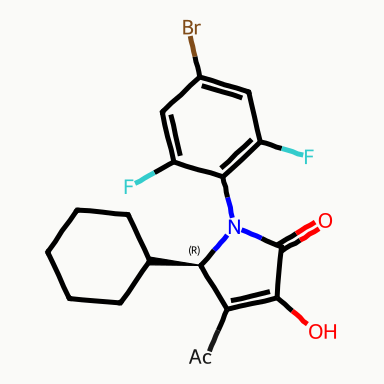 CC(=O)C1=C(O)C(=O)N(c2c(F)cc(Br)cc2F)[C@@H]1C1CCCCC1